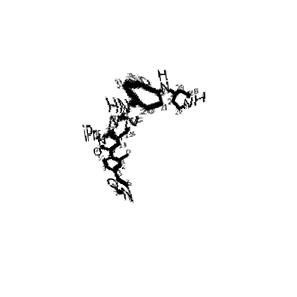 Cc1cc(-c2cnco2)ccc1-c1cc2cnc(Nc3ccc(NC4CCNCC4)cc3)nc2n(C(C)C)c1=O